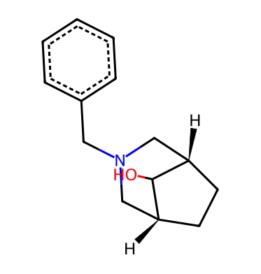 OC1[C@@H]2CC[C@H]1CN(Cc1ccccc1)C2